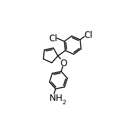 Nc1ccc(OC2(c3ccc(Cl)cc3Cl)C=CCC2)cc1